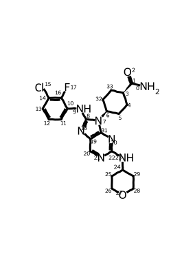 NC(=O)[C@H]1CC[C@@H](n2c(Nc3cccc(Cl)c3F)nc3cnc(NC4CCOCC4)nc32)CC1